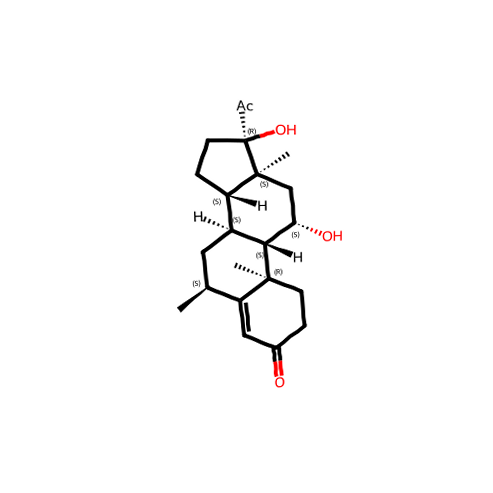 CC(=O)[C@@]1(O)CC[C@H]2[C@@H]3C[C@H](C)C4=CC(=O)CC[C@]4(C)[C@H]3[C@@H](O)C[C@@]21C